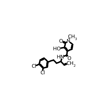 C=CC(CCc1ccc(Cl)c(Cl)c1)NC(=O)c1ccn(C)c(=O)c1O